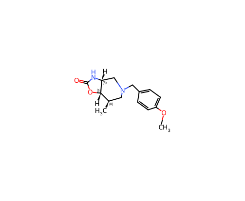 COc1ccc(CN2C[C@@H](C)[C@@H]3OC(=O)N[C@@H]3C2)cc1